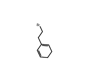 BrCCC1=CCCC=C1